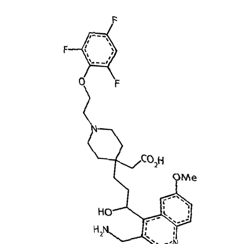 COc1ccc2ncc(CN)c(C(O)CCC3(CC(=O)O)CCN(CCOc4c(F)cc(F)cc4F)CC3)c2c1